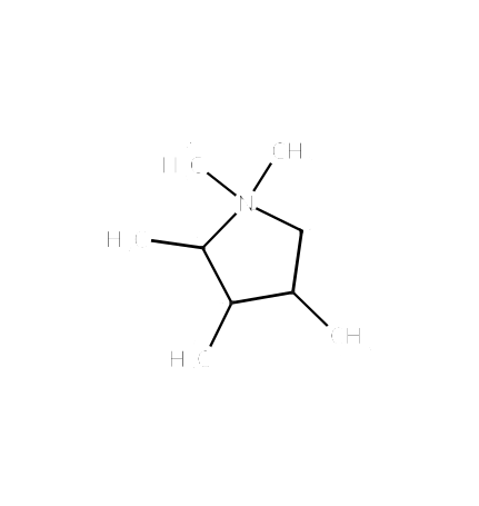 CC1C[N+](C)(C)C(C)C1C